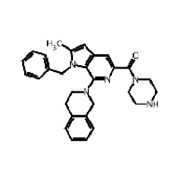 Cc1cc2cc(C(=O)N3CCNCC3)nc(N3CCc4ccccc4C3)c2n1Cc1ccccc1